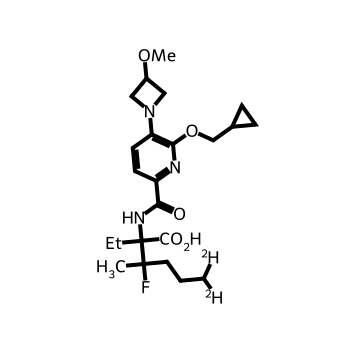 [2H]C([2H])CCC(C)(F)C(CC)(NC(=O)c1ccc(N2CC(OC)C2)c(OCC2CC2)n1)C(=O)O